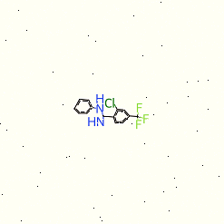 N=C(Nc1ccccc1)c1ccc(C(F)(F)F)cc1Cl